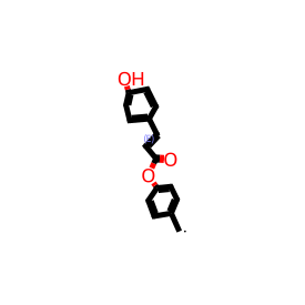 [CH2]c1ccc(OC(=O)/C=C/c2ccc(O)cc2)cc1